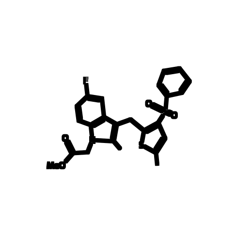 COC(=O)Cn1c(C)c(Cc2sc(C)cc2S(=O)(=O)c2ccccc2)c2cc(F)ccc21